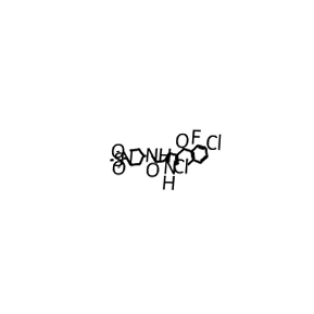 CS(=O)(=O)N1CCC(NC(=O)c2cc(C(=O)c3c(Cl)ccc(Cl)c3F)c[nH]2)CC1